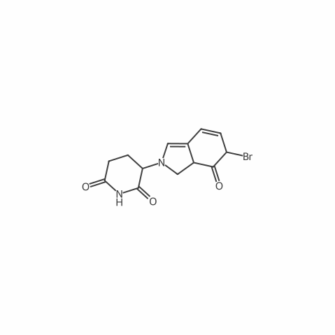 O=C1CCC(N2C=C3C=CC(Br)C(=O)C3C2)C(=O)N1